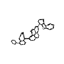 c1ccc(-c2cccc3c(-c4ccc5ccc6cc(-c7cccc8c7oc7ccccc78)cc7ccc4c5c67)cccc23)cc1